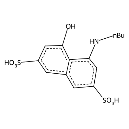 CCCCNc1cc(S(=O)(=O)O)cc2cc(S(=O)(=O)O)cc(O)c12